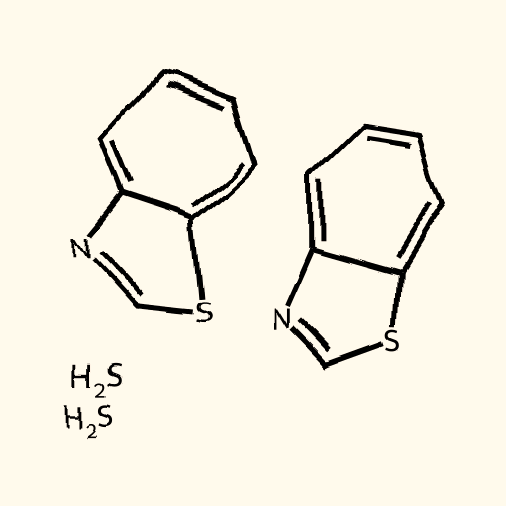 S.S.c1ccc2scnc2c1.c1ccc2scnc2c1